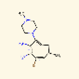 CC1\C=C(Br)/C(N)=C(N)\C(N2CCN(C)CC2)=C\C1